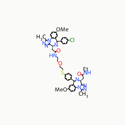 CCNC(=O)C[C@@H]1N=C(c2ccc(SCCOCCNC(=O)C[C@@H]3N=C(c4ccc(Cl)cc4)c4cc(OC)ccc4-n4c(C)nnc43)cc2)c2cc(OC)ccc2-n2c(C)nnc21